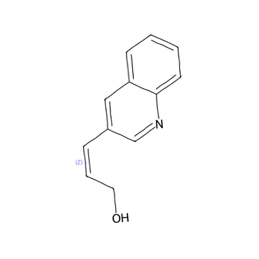 OC/C=C\c1cnc2ccccc2c1